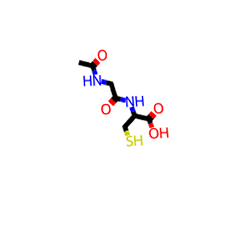 CC(=O)NCC(=O)NC(CS)C(=O)O